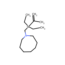 C=C(C)[Si](CC)(CC)CN1CCCCCCC1